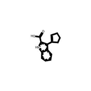 O=C(O)c1[nH]c2ccccc2c1C1=CCCC1